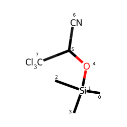 C[Si](C)(C)OC(C#N)C(Cl)(Cl)Cl